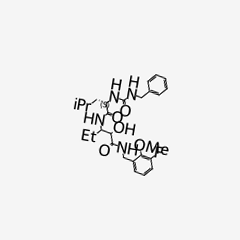 CCC(NC(=O)[C@H](CC(C)C)NC(=O)NCc1ccccc1)C(O)C(=O)NCc1cccc(F)c1OC